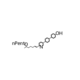 CCCCCOC(C)CCCC=Cc1ccc(-c2ccc(-c3ccc(O)cc3)cc2)cn1